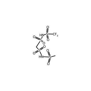 CS(=O)(=O)NS(=O)(=O)CS(=O)(=O)NS(=O)(=O)C(F)(F)F